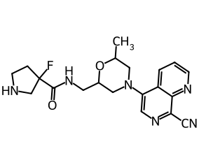 CC1CN(c2cnc(C#N)c3ncccc23)CC(CNC(=O)C2(F)CCNC2)O1